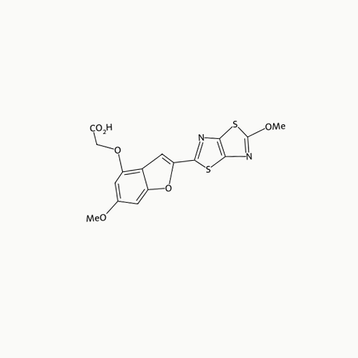 COc1cc(OCC(=O)O)c2cc(-c3nc4sc(OC)nc4s3)oc2c1